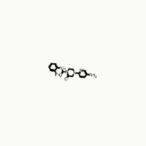 Nc1ccc(N2CCN(C(=O)Nc3ccccc3F)C(=O)C2)nc1